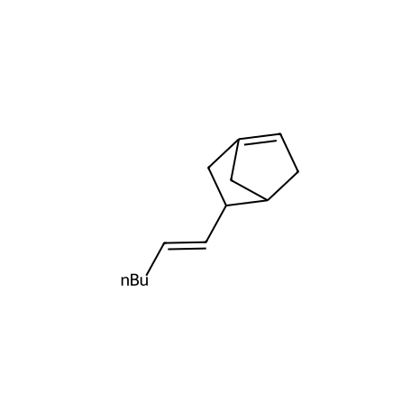 CCCCC=CC1CC2=CCC1C2